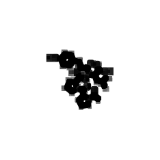 CC(=O)N1CCCC1C(=O)N1CCCC1C(=O)NC(Cc1ccc(O)cc1)C(=O)NC(CC(C)C)C(=O)O